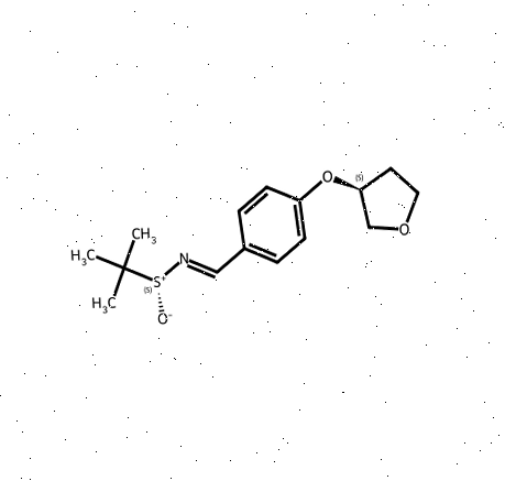 CC(C)(C)[S@@+]([O-])N=Cc1ccc(O[C@H]2CCOC2)cc1